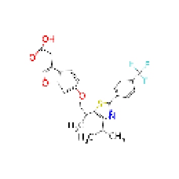 CC(C)c1nc(-c2ccc(C(F)(F)F)cc2)sc1C(C)COc1ccc2c(CC(=O)O)coc2c1